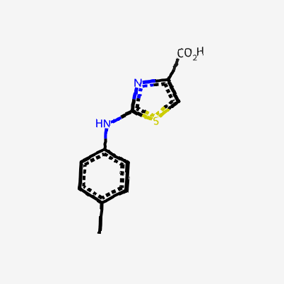 Cc1ccc(Nc2nc(C(=O)O)cs2)cc1